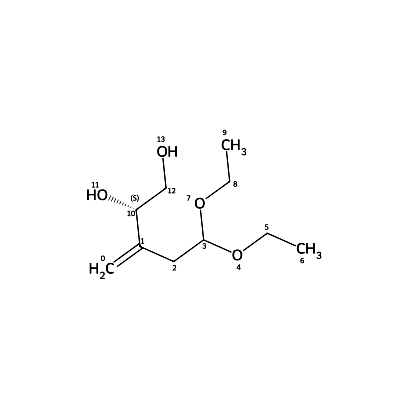 C=C(CC(OCC)OCC)[C@H](O)CO